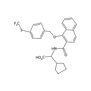 O=C(NC(C(=O)O)C1CCCC1)c1ccc2ccccc2c1OCc1ccc(SC(F)(F)F)cc1